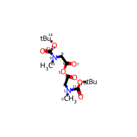 CN(CC(=O)OC(=O)CN(C)C(=O)OC(C)(C)C)C(=O)OC(C)(C)C